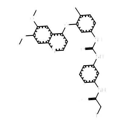 COc1cc2nccc(Oc3cc(NC(=O)Nc4cccc(NC(=O)CCl)c4)ccc3C)c2cc1OC